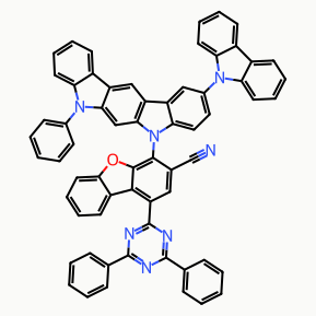 N#Cc1cc(-c2nc(-c3ccccc3)nc(-c3ccccc3)n2)c2c(oc3ccccc32)c1-n1c2ccc(-n3c4ccccc4c4ccccc43)cc2c2cc3c4ccccc4n(-c4ccccc4)c3cc21